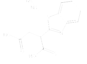 N.N.O=C(O)CC(C(O)=S)c1nc2ccccc2o1